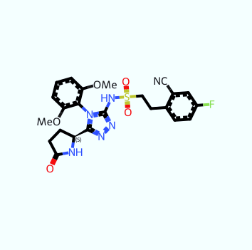 COc1cccc(OC)c1-n1c(NS(=O)(=O)CCc2ccc(F)cc2C#N)nnc1[C@@H]1CCC(=O)N1